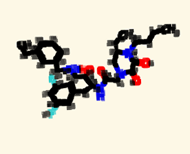 CCCCN1C(=O)C(=O)N(CC(=O)N[C@@H](Cc2cc(F)cc(F)c2)[C@H](O)CNCc2cccc(CC)c2)C[C@@H]1CC